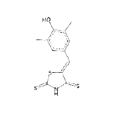 Cc1cc(/C=C2\SC(=S)NC2=S)cc(C)c1O